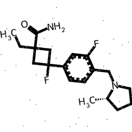 CCC1(C(N)=O)CC(F)(c2ccc(CN3CCC[C@@H]3C)c(F)c2)C1